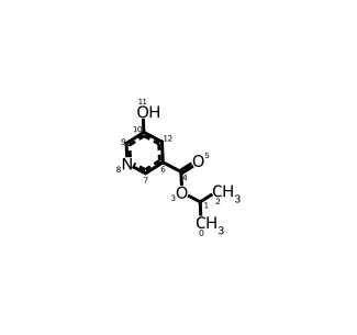 CC(C)OC(=O)c1cncc(O)c1